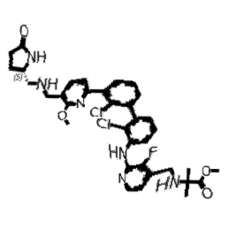 COC(=O)C(C)(C)NCc1ccnc(Nc2cccc(-c3cccc(-c4ccc(CNC[C@@H]5CCC(=O)N5)c(OC)n4)c3Cl)c2Cl)c1F